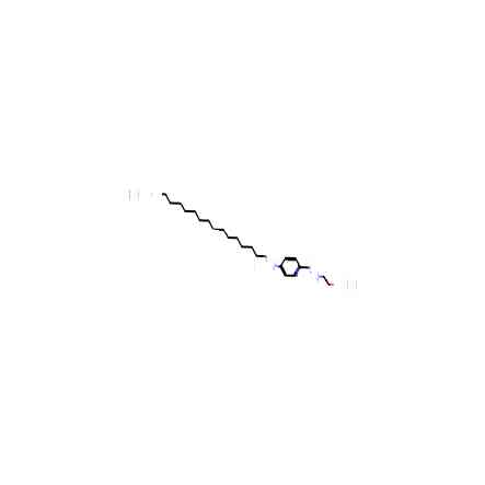 CCCCCCCCCCCCCCCC(=O)Nc1ccc(C(=O)NCC(=O)O)cc1